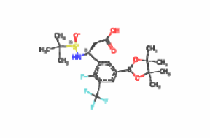 CC(C)(C)[S@@+]([O-])N[C@@H](CC(=O)O)c1cc(B2OC(C)(C)C(C)(C)O2)cc(C(F)(F)F)c1F